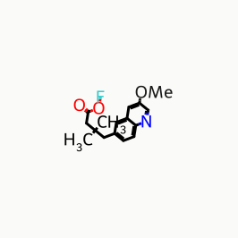 COc1cnc2ccc(CC(C)(C)CC(=O)OF)cc2c1